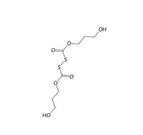 O=C(OCCCO)SSC(=O)OCCCO